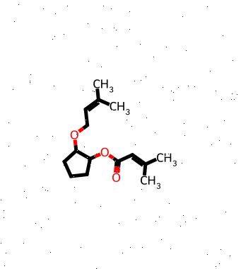 CC(C)=CCOC1CCCC1OC(=O)C=C(C)C